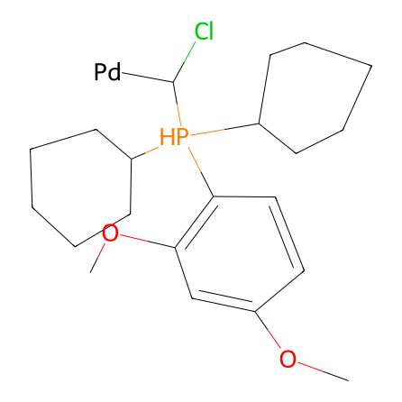 COc1ccc([PH]([CH](Cl)[Pd])(C2CCCCC2)C2CCCCC2)c(OC)c1